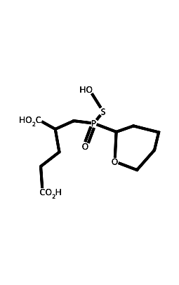 O=C(O)CCC(CP(=O)(SO)C1CCCCO1)C(=O)O